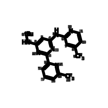 CC(C)(C)Nc1cc(Nc2cc(C(F)(F)F)ccn2)nc(-c2cccc(C(F)(F)F)n2)n1